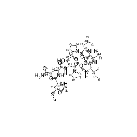 CC[C@H](C)[C@H](NC(=O)[C@@H]1CCCN1C(=O)[C@H](CO)NC(=O)[C@H](CCC(N)=O)NC(=O)[C@H](CCSC)NC(C)=O)C(=O)N[C@H](C(=O)N[C@@H](CC(C)C)C(=O)N1CCC[C@H]1C(C)=O)C(C)C